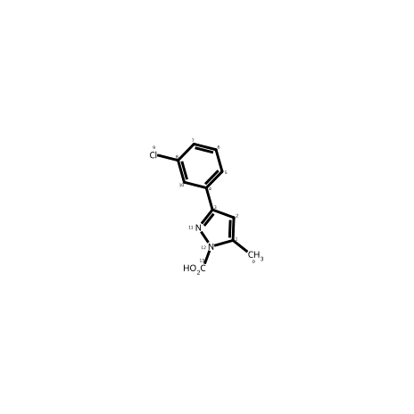 Cc1cc(-c2cccc(Cl)c2)nn1C(=O)O